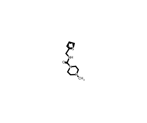 CN1CCN(C(=O)NCc2cccs2)CC1